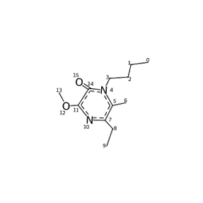 CCCCn1c(C)c(CC)nc(OC)c1=O